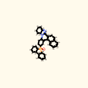 O=P1(c2ccc3c(c2)c2c4ccccc4ccc2c2nc4ccccc4n32)c2ccccc2-c2ccccc21